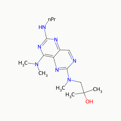 CCCNc1nc(N(C)C)c2nc(N(C)CC(C)(C)O)ncc2n1